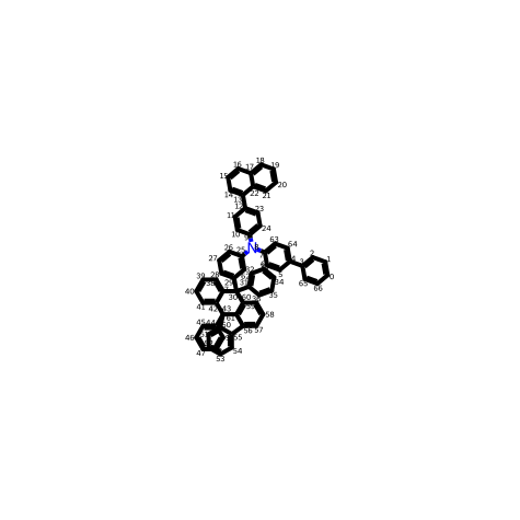 c1ccc(-c2ccc(N(c3ccc(-c4cccc5ccccc45)cc3)c3cccc(C4(c5ccccc5)c5ccccc5C5(c6ccccc6)c6ccccc6-c6cccc4c65)c3)cc2)cc1